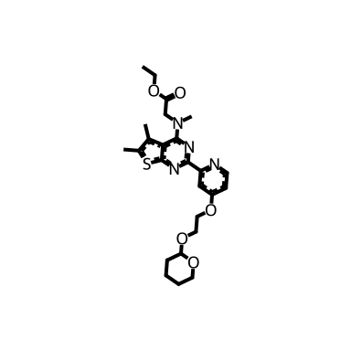 CCOC(=O)CN(C)c1nc(-c2cc(OCCOC3CCCCO3)ccn2)nc2sc(C)c(C)c12